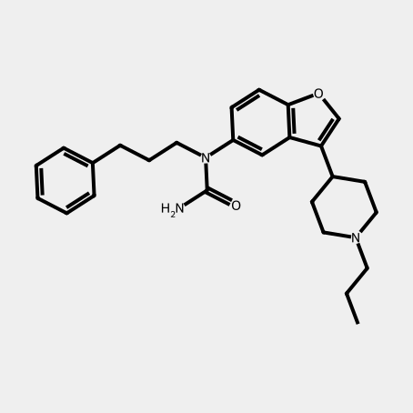 CCCN1CCC(c2coc3ccc(N(CCCc4ccccc4)C(N)=O)cc23)CC1